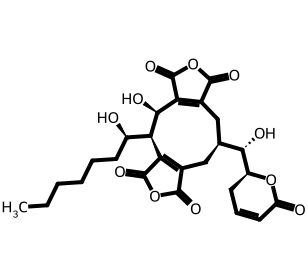 CCCCCC[C@@H](O)[C@@H]1C2=C(C[C@H]([C@H](O)[C@@H]3CC=CC(=O)O3)CC3=C(C(=O)OC3=O)[C@@H]1O)C(=O)OC2=O